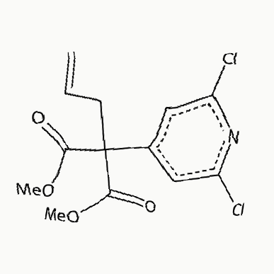 C=CCC(C(=O)OC)(C(=O)OC)c1cc(Cl)nc(Cl)c1